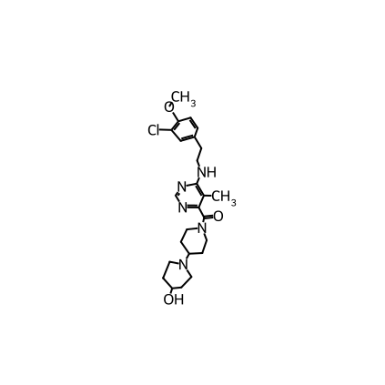 COc1ccc(CCNc2ncnc(C(=O)N3CCC(N4CCC(O)CC4)CC3)c2C)cc1Cl